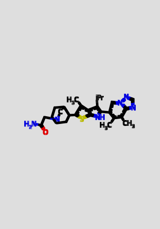 Cc1c(-c2[nH]c3sc(C4CC5CCC4CN5CC(N)=O)c(C)c3c2C(C)C)cn2ncnc2c1C